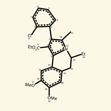 CCOC(=O)c1c(-c2ccccc2Cl)c(C)n2c1-c1cc(OC)c(OC)cc1CC2CC